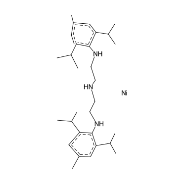 Cc1cc(C(C)C)c(NCCNCCNc2c(C(C)C)cc(C)cc2C(C)C)c(C(C)C)c1.[Ni]